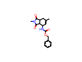 CC1=CC(NC(=O)OCc2ccccc2)C2C(=O)N(C)C(=O)C2C1